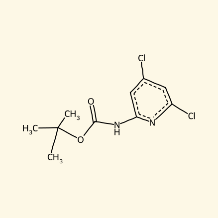 CC(C)(C)OC(=O)Nc1cc(Cl)cc(Cl)n1